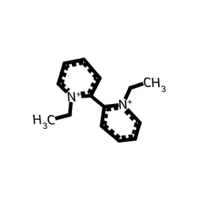 CC[n+]1ccccc1-c1cccc[n+]1CC